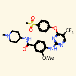 COc1cc(C(=O)NC2CCN(C)CC2)ccc1Nc1ncc(C(F)(F)F)c(Oc2ccc(S(C)(=O)=O)cc2)n1